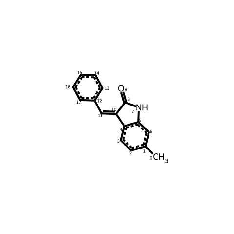 Cc1ccc2c(c1)NC(=O)C2=Cc1ccccc1